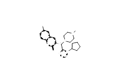 CCN1CCN([C@H](c2cc3cc(C)ccc3[nH]c2=O)c2nnnn2C2CCCC2)CC1